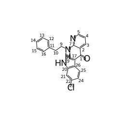 O=C(c1cccnc1NCCc1ccccc1)c1c[nH]c2cc(Cl)ccc12